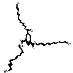 CC(C)CCCCCCCCCCOC(=O)C1CC(C(=O)OCCCCCCCCCCC(C)C)CC(C(=O)OCCCCCCCCCCC(C)C)C1